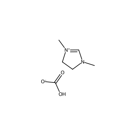 CN1C=[N+](C)CC1.O=C([O-])O